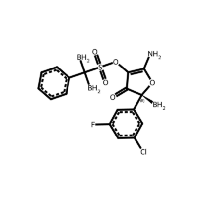 BC(B)(c1ccccc1)S(=O)(=O)OC1=C(N)O[C@](B)(c2cc(F)cc(Cl)c2)C1=O